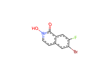 O=c1c2cc(F)c(Br)cc2ccn1O